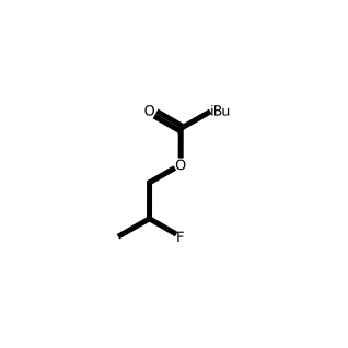 CCC(C)C(=O)OCC(C)F